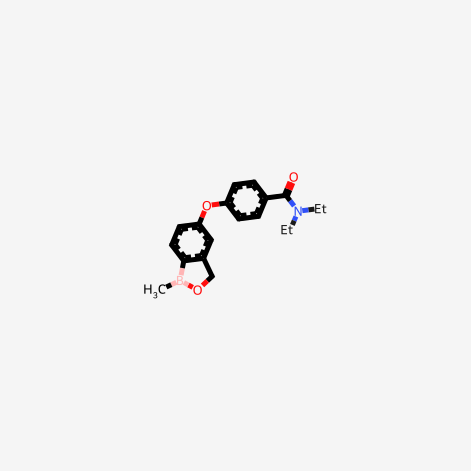 CCN(CC)C(=O)c1ccc(Oc2ccc3c(c2)COB3C)cc1